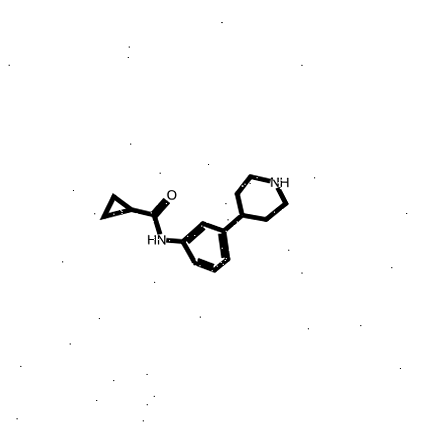 O=C(Nc1cccc(C2CCNCC2)c1)C1CC1